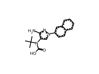 CC(C)(C)N(C(=O)O)c1cn(-c2ccc3ccccc3c2)nc1N